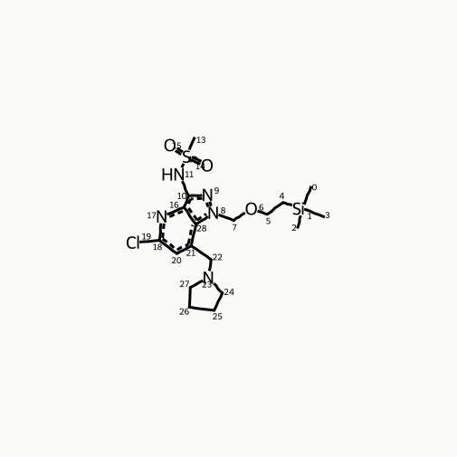 C[Si](C)(C)CCOCn1nc(NS(C)(=O)=O)c2nc(Cl)cc(CN3CCCC3)c21